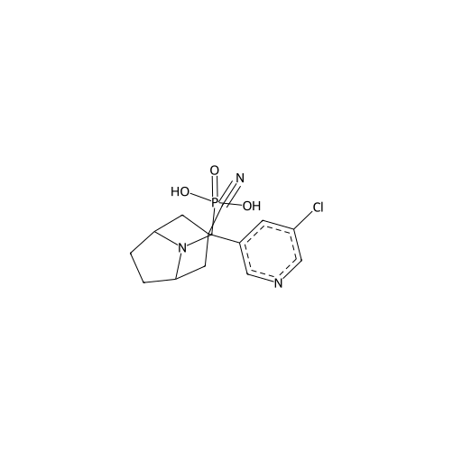 N#CC1(c2cncc(Cl)c2)CC2CCC(C1)N2CP(=O)(O)O